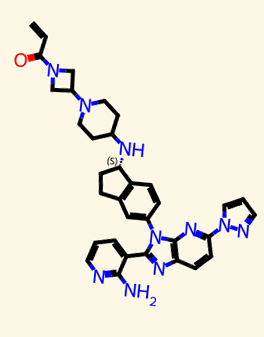 C=CC(=O)N1CC(N2CCC(N[C@H]3CCc4cc(-n5c(-c6cccnc6N)nc6ccc(-n7cccn7)nc65)ccc43)CC2)C1